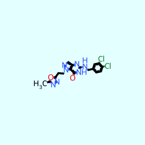 Cc1nnc(CCn2ncc3nc(NCc4ccc(Cl)c(Cl)c4)[nH]c(=O)c32)o1